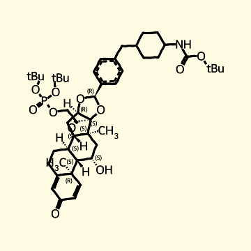 CC(C)(C)OC(=O)NC1CCC(Cc2ccc([C@@H]3O[C@@H]4C[C@H]5[C@@H]6CCC7=CC(=O)C=C[C@]7(C)[C@H]6[C@@H](O)C[C@]5(C)[C@]4(C(=O)COP(=O)(OC(C)(C)C)OC(C)(C)C)O3)cc2)CC1